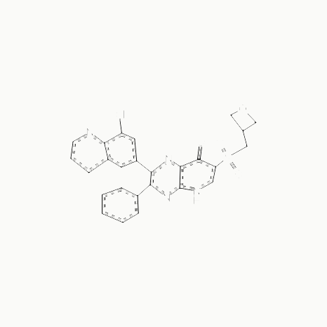 O=c1c(S(=O)(=O)CC2COC2)c[nH]c2nc(-c3ccccc3)c(-c3cc(Cl)c4ncccc4c3)nc12